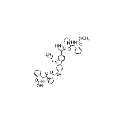 CCCCn1c2cc(NC(=O)[C@@H]3CCCN3C(=O)[C@H](NC(=O)O)c3ccccc3)ccc2c2ccc(-c3c[nH]c([C@@H]4CCCN4C(=O)[C@H](NC(=O)OC)c4ccccc4)n3)cc21